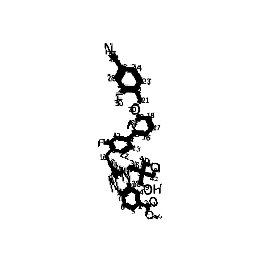 COC(=O)c1ccc2nc(Cc3ccc(-c4cccc(OCc5ccc(C#N)cc5F)n4)cc3F)n(CC3(CO)COC3)c2c1